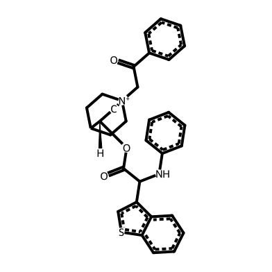 O=C(C[N+]12CCC(CC1)[C@@H](OC(=O)C(Nc1ccccc1)c1csc3ccccc13)C2)c1ccccc1